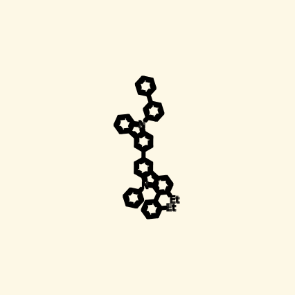 CCc1ccccc1-c1c(CC)ccc2c3cc(-c4ccc5c(c4)c4ccccc4n5-c4cccc(-c5ccccc5)c4)ccc3n(-c3ccccc3)c12